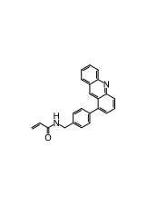 C=CC(=O)NCc1ccc(-c2cccc3nc4ccccc4cc23)cc1